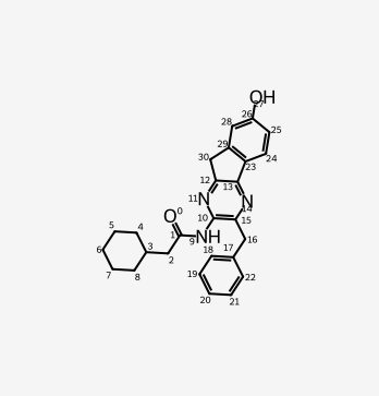 O=C(CC1CCCCC1)Nc1nc2c(nc1Cc1ccccc1)-c1ccc(O)cc1C2